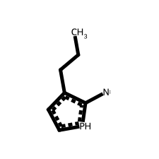 CCCc1cc[pH]c1[N]